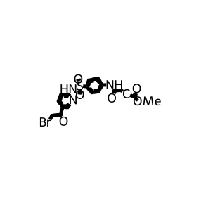 COC(=O)CCC(=O)Nc1ccc(S(=O)(=O)Nc2ccc(C(=O)CBr)cn2)cc1